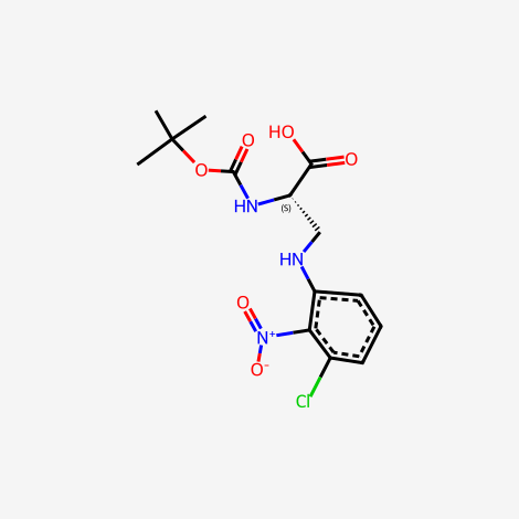 CC(C)(C)OC(=O)N[C@@H](CNc1cccc(Cl)c1[N+](=O)[O-])C(=O)O